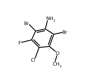 COc1c(Cl)c(F)c(Br)c(N)c1Br